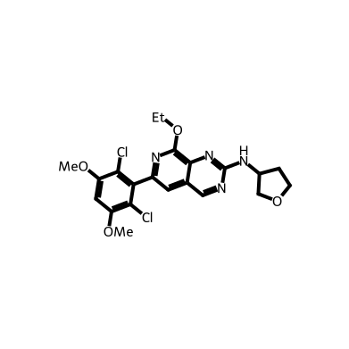 CCOc1nc(-c2c(Cl)c(OC)cc(OC)c2Cl)cc2cnc(NC3CCOC3)nc12